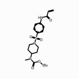 C=CC(=O)Nc1ccc(S(=O)(=O)N2CCC(N(C)C(=O)OC(C)(C)C)CC2)cc1